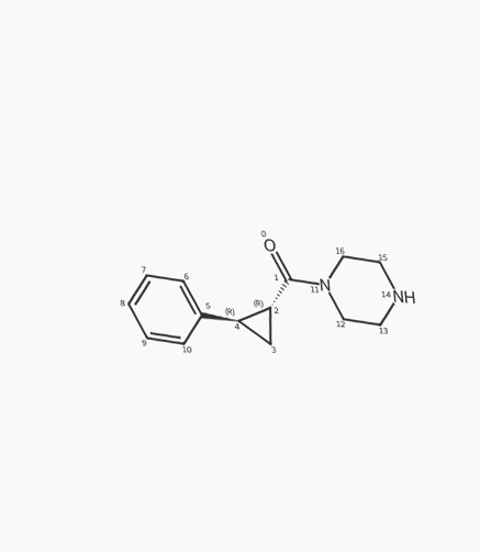 O=C([C@@H]1C[C@H]1c1ccccc1)N1CCNCC1